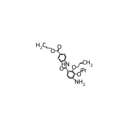 C=CCOC(=O)c1ccc(NC(=O)c2ccc(N)c(OC(C)C)c2OCC=C)cc1